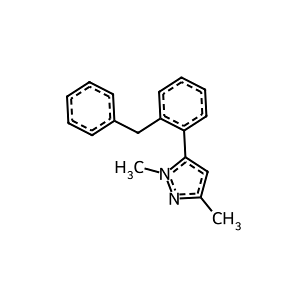 Cc1cc(-c2ccccc2Cc2ccccc2)n(C)n1